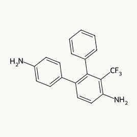 Nc1ccc(-c2ccc(N)c(C(F)(F)F)c2-c2ccccc2)cc1